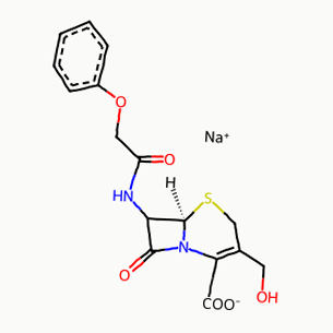 O=C(COc1ccccc1)NC1C(=O)N2C(C(=O)[O-])=C(CO)CS[C@H]12.[Na+]